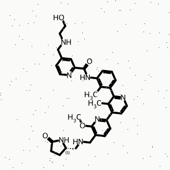 COc1nc(-c2ccnc(-c3cccc(NC(=O)c4cc(CNCCO)ccn4)c3C)c2C)ccc1CNC[C@@H]1CCC(=O)N1